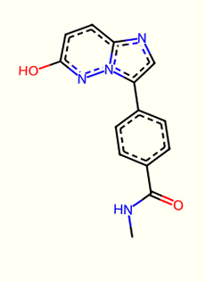 CNC(=O)c1ccc(-c2cnc3ccc(O)nn23)cc1